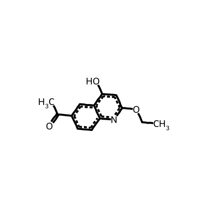 CCOc1cc(O)c2cc(C(C)=O)ccc2n1